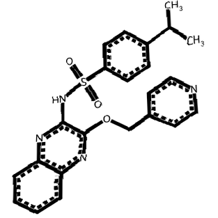 CC(C)c1ccc(S(=O)(=O)Nc2nc3ccccc3nc2OCc2ccncc2)cc1